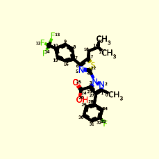 Cc1nn(-c2nc(-c3ccc(C(F)(F)F)cc3)c(CC(C)C)s2)c(C(=O)O)c1-c1cccc(F)c1